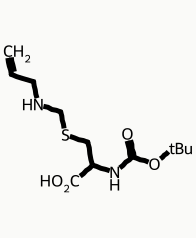 C=CCNCSCC(NC(=O)OC(C)(C)C)C(=O)O